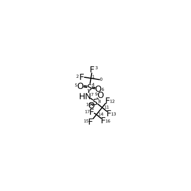 CC(F)(F)S(=O)(=O)NS(=O)(=O)C(F)(F)C(F)(F)F